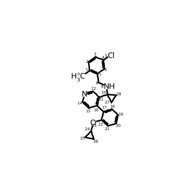 Cc1ccc(Cl)cc1CNC1(c2cnccc2-c2ccccc2OC2CC2)CC1